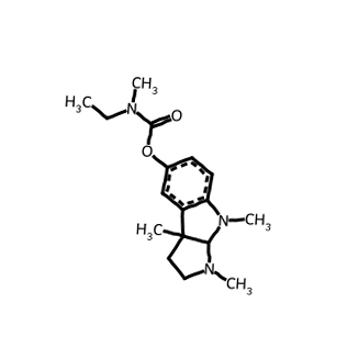 CCN(C)C(=O)Oc1ccc2c(c1)C1(C)CCN(C)C1N2C